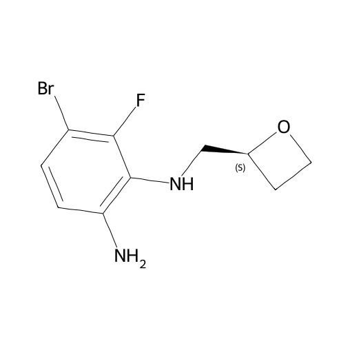 Nc1ccc(Br)c(F)c1NC[C@@H]1CCO1